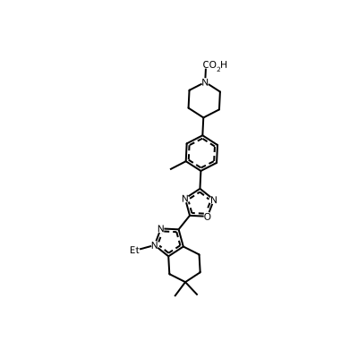 CCn1nc(-c2nc(-c3ccc(C4CCN(C(=O)O)CC4)cc3C)no2)c2c1CC(C)(C)CC2